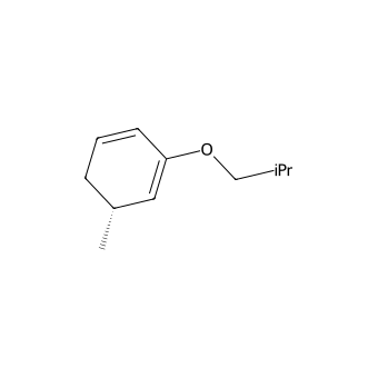 CC(C)COC1=C[C@H](C)CC=C1